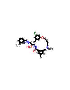 CCCN1CCCCOc2cc(F)cc(c2)C[C@@H]([C@H](O)CNCc2cccc(CC)c2)NC(=O)c2cc(C)cc(c2)C1